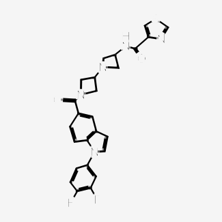 O=C(NC1CN(C2CN(C(=O)c3ccc4c(ccn4-c4ccc(F)c(F)c4)c3)C2)C1)c1cscn1